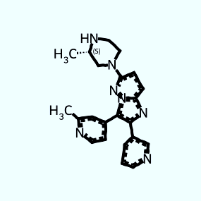 Cc1cc(-c2c(-c3cccnc3)nc3ccc(N4CCN[C@@H](C)C4)nn23)ccn1